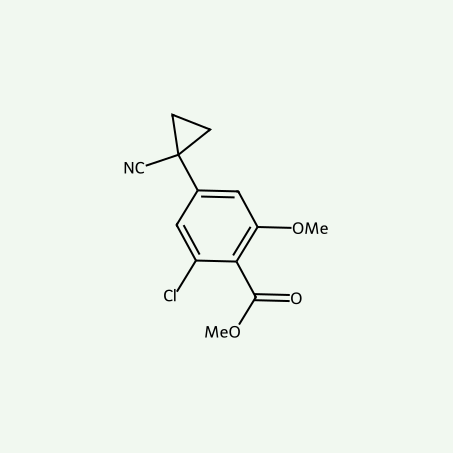 COC(=O)c1c(Cl)cc(C2(C#N)CC2)cc1OC